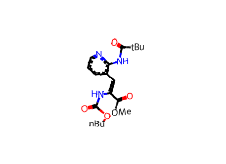 CCCCOC(=O)NC(=Cc1cccnc1NC(=O)C(C)(C)C)C(=O)OC